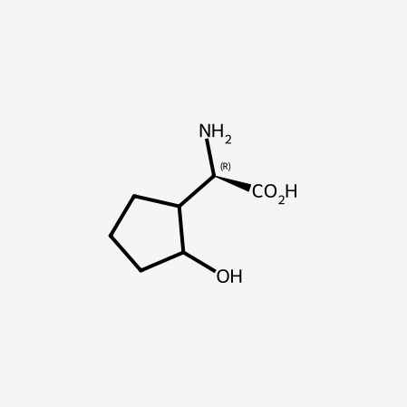 N[C@@H](C(=O)O)C1CCCC1O